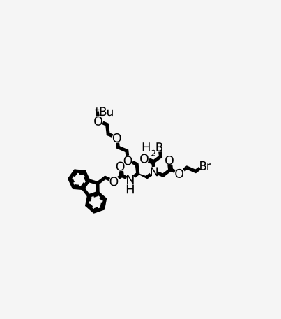 BCC(=O)N(CC(=O)OCCBr)C[C@H](COCCOCCOC(C)(C)C)NC(=O)OCC1c2ccccc2-c2ccccc21